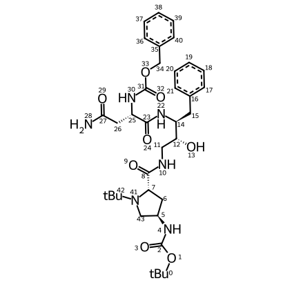 CC(C)(C)OC(=O)N[C@@H]1C[C@@H](C(=O)NC[C@@H](O)[C@H](Cc2ccccc2)NC(=O)[C@H](CC(N)=O)NC(=O)OCc2ccccc2)N(C(C)(C)C)C1